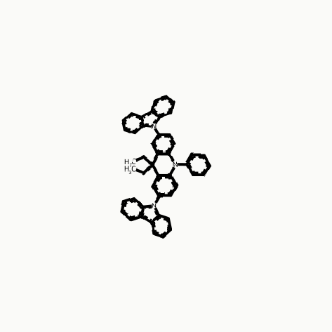 CCC1(CC)c2cc(-n3c4ccccc4c4ccccc43)ccc2N(c2ccccc2)c2ccc(-n3c4ccccc4c4ccccc43)cc21